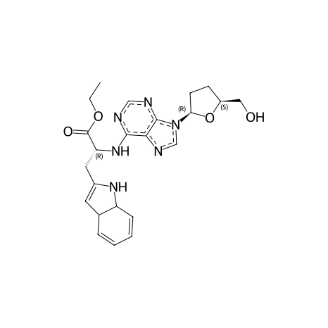 CCOC(=O)[C@@H](CC1=CC2C=CC=CC2N1)Nc1ncnc2c1ncn2[C@H]1CC[C@@H](CO)O1